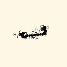 CN1Cc2c(Cl)cc(Cl)cc2[C@H](c2cccc(-c3cn(CCOCCOCCNC(=O)CCC(=O)NCCOCCOCCn4cc(-c5cccc([C@@H]6CN(C)Cc7c(Cl)cc(Cl)cc76)c5)nn4)nn3)c2)C1.Cl